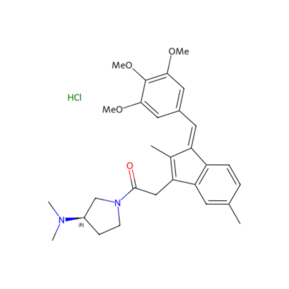 COc1cc(C=C2C(C)=C(CC(=O)N3CC[C@@H](N(C)C)C3)c3cc(C)ccc32)cc(OC)c1OC.Cl